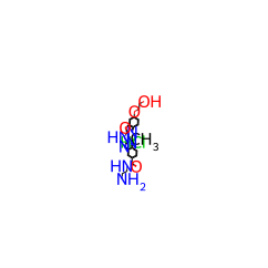 Cl.Cn1c(Nc2nc3ccc(OCCO)cc3o2)nc2cc(C(=O)NCCN)ccc21